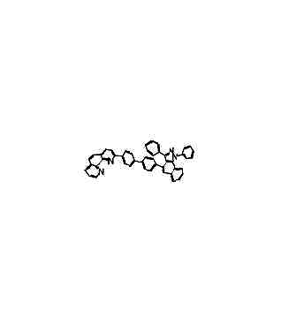 c1ccc(-c2nn(-c3ccccc3)c3c2c(-c2ccc(-c4ccc(-c5ccc6ccc7cccnc7c6n5)cc4)cc2)cc2ccccc23)cc1